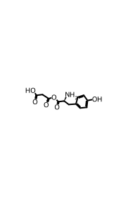 N[C@@H](Cc1ccc(O)cc1)C(=O)OC(=O)CC(=O)O